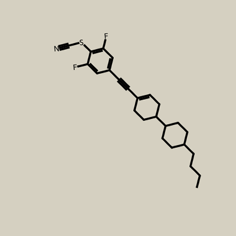 CCCCC1CCC(C2CC=C(C#Cc3cc(F)c(SC#N)c(F)c3)CC2)CC1